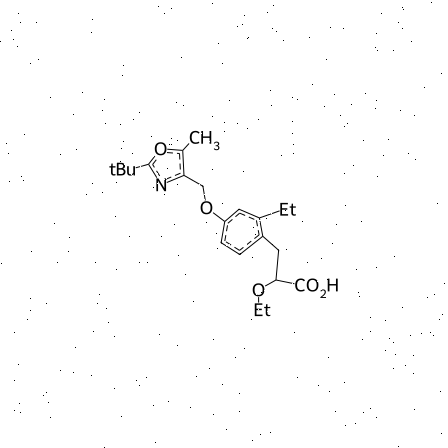 CCOC(Cc1ccc(OCc2nc(C(C)(C)C)oc2C)cc1CC)C(=O)O